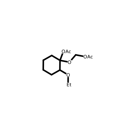 CCOC1CCCCC1(OCOC(C)=O)OC(C)=O